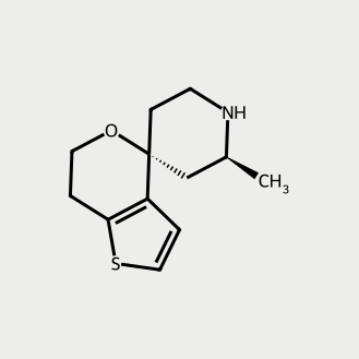 C[C@H]1C[C@@]2(CCN1)OCCc1sccc12